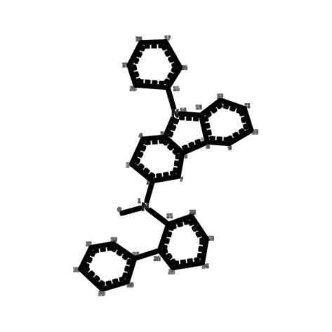 CN(c1ccc2c(c1)c1ccccc1n2-c1ccccc1)c1ccccc1-c1ccccc1